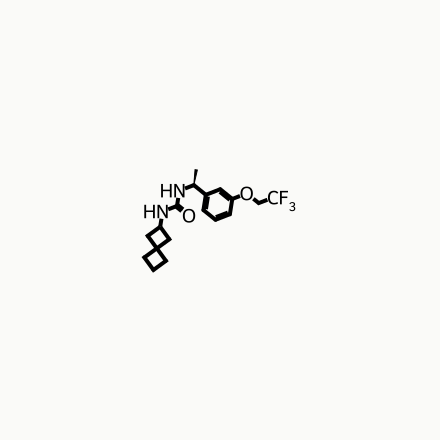 C[C@H](NC(=O)NC1CC2(CCC2)C1)c1cccc(OCC(F)(F)F)c1